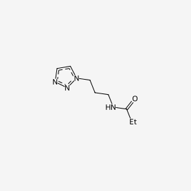 CCC(=O)NCCCn1ccnn1